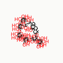 C[C@H](CC[C@@H](O[C@@H]1O[C@H](CO[C@@H]2O[C@H](CO)[C@@H](O)[C@H](O)[C@H]2O)[C@@H](O)[C@H](O)[C@H]1O[C@H]1O[C@@H](CO)[C@H](O)[C@@H](O)[C@@H]1O)C(C)(C)O)C1CC[C@@]2(C)C3CC=C4C(CC[C@H](O[C@@H]5O[C@H](CO[C@@H]6O[C@H](CO)[C@@H](O)[C@H](O)[C@H]6O)[C@@H](O)[C@H](O)[C@H]5O[C@H]5O[C@@H](CO)[C@H](O)[C@@H](O)[C@@H]5O)C4(C)C)[C@]3(C)[C@H](O)C[C@]12C